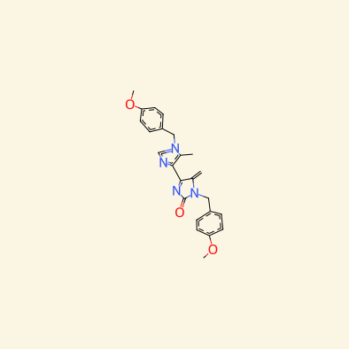 C=C1C(c2ncn(Cc3ccc(OC)cc3)c2C)=NC(=O)N1Cc1ccc(OC)cc1